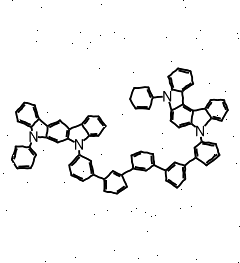 C1=CC(n2c3ccccc3c3c4c5ccccc5n(-c5cccc(-c6cccc(-c7cccc(-c8cccc(-c9cccc(-n%10c%11ccccc%11c%11cc%12c%13ccccc%13n(-c%13ccccc%13)c%12cc%11%10)c9)c8)c7)c6)c5)c4ccc32)=CCC1